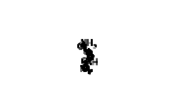 CC(C)c1cncc(C(=O)Nc2ccc3c(c2)CN(CCC(N)=O)CC3)c1